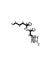 CCCCC(=O)SC(=O)CNN